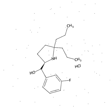 CCCC1(CCC)CC[C@H](C(O)c2cccc(F)c2)N1.Cl